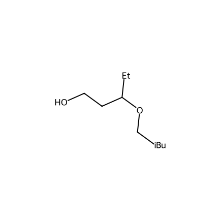 CCC(C)COC(CC)CCO